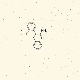 NC(=O)C(Cc1ccccc1)c1ccccc1F